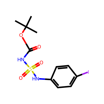 CC(C)(C)OC(=O)NS(=O)(=O)Nc1ccc(I)cc1